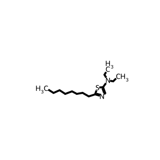 CCCCCCCCc1ncc(N(CC)CC)s1